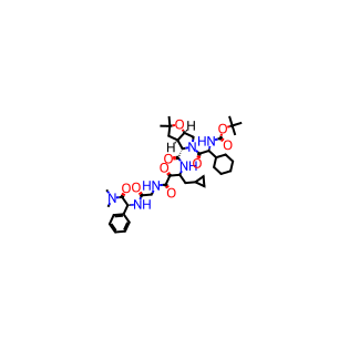 CN(C)C(=O)[C@@H](NC(=O)CNC(=O)C(=O)C(CC1CC1)NC(=O)[C@@H]1[C@H]2CC(C)(C)O[C@H]2CN1C(=O)[C@@H](NC(=O)OC(C)(C)C)C1CCCCC1)c1ccccc1